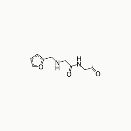 O=[C]CNC(=O)CNCc1ccco1